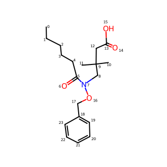 CCCCCC(=O)N(CC(C)(C)CC(=O)O)OCc1ccccc1